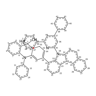 CC1(C)c2ccccc2N(c2ccccc2)C2=CC(c3cccc4c5c6ccccc6ccc5n(-c5cc(-c6ccccc6)cc(-c6ccccc6)n5)c34)=CCC21